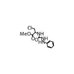 COC(=O)C(CCl)NC(=O)NNc1ccccc1